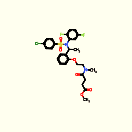 COC(=O)CCC(=O)N(C)CCOc1ccccc1C(C)N(c1cc(F)ccc1F)S(=O)(=O)c1ccc(Cl)cc1